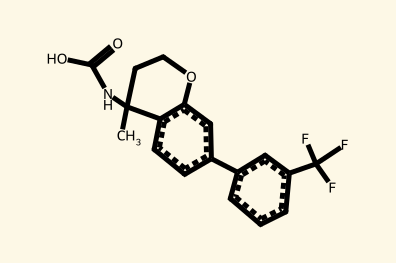 CC1(NC(=O)O)CCOc2cc(-c3cccc(C(F)(F)F)c3)ccc21